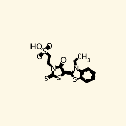 CCN1C(=C2SC(=S)N(CCS(=O)(=O)O)C2=O)Sc2ccccc21